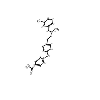 CN(CCc1ccc(Oc2ccc(C(N)=O)cn2)cc1)Cc1cccc(C(F)(F)F)c1